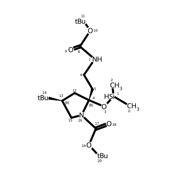 C[SiH](C)O[C@@]1(CCNC(=O)OC(C)(C)C)C[C@H](C(C)(C)C)CN1C(=O)OC(C)(C)C